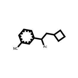 CC(=O)C(CC1CCC1)c1cccc(C#N)c1